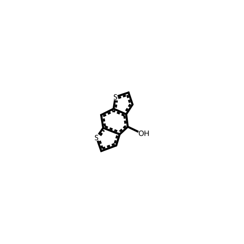 Oc1c2ccsc2cc2sccc12